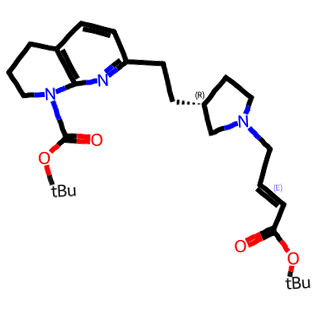 CC(C)(C)OC(=O)/C=C/CN1CC[C@@H](CCc2ccc3c(n2)N(C(=O)OC(C)(C)C)CCC3)C1